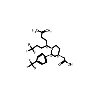 C=C(C)CC[C@H](CCC(F)(F)F)N1CC[C@@H](CC(=O)O)C[C@H]1c1ccc(C(F)(F)F)cc1